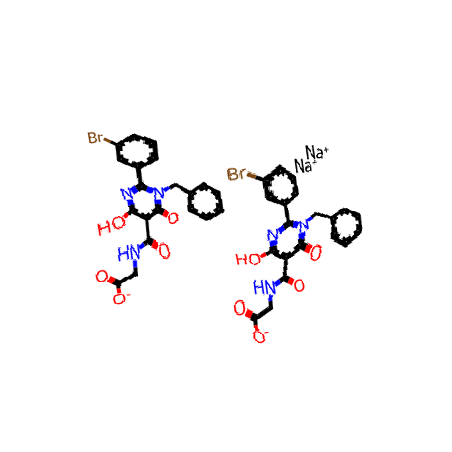 O=C([O-])CNC(=O)c1c(O)nc(-c2cccc(Br)c2)n(Cc2ccccc2)c1=O.O=C([O-])CNC(=O)c1c(O)nc(-c2cccc(Br)c2)n(Cc2ccccc2)c1=O.[Na+].[Na+]